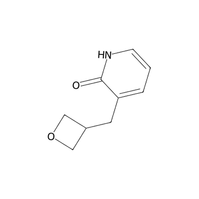 O=c1[nH]cccc1CC1COC1